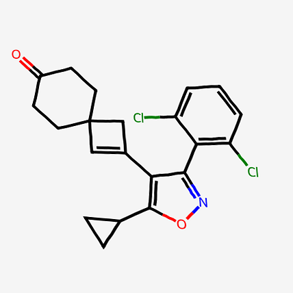 O=C1CCC2(C=C(c3c(-c4c(Cl)cccc4Cl)noc3C3CC3)C2)CC1